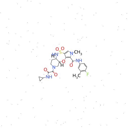 Cc1cc(NC(=O)c2c3c(cn2C)S(=O)(=O)N[C@@H]2CCN(C(=O)C(=O)NC4CC4)C[C@H]2O3)ccc1F